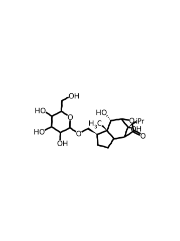 CC(C)[C@@]1(O)C2C(=O)OC1[C@@H](O)[C@]1(C)C2CC[C@H]1COC1OC(CO)C(O)C(O)C1O